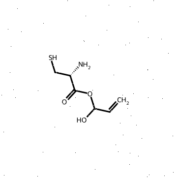 C=CC(O)OC(=O)[C@@H](N)CS